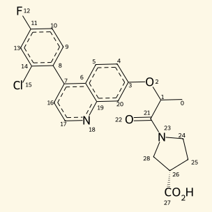 CC(Oc1ccc2c(-c3ccc(F)cc3Cl)ccnc2c1)C(=O)N1CC[C@H](C(=O)O)C1